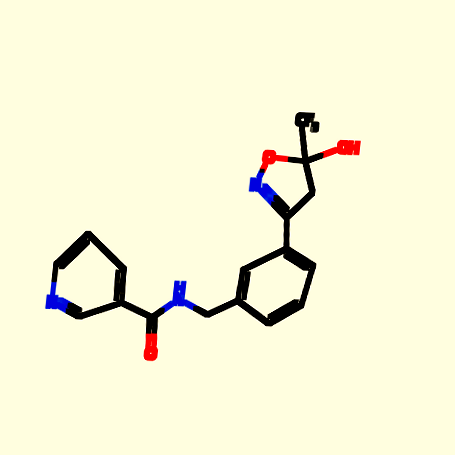 O=C(NCc1cccc(C2=NOC(O)(C(F)(F)F)C2)c1)c1cccnc1